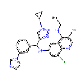 CC(C)(C)CNc1c(C#N)cnc2c(Cl)cc(NC(c3cccc(-n4ccnc4)c3)c3cn(C4CC4)nn3)cc12